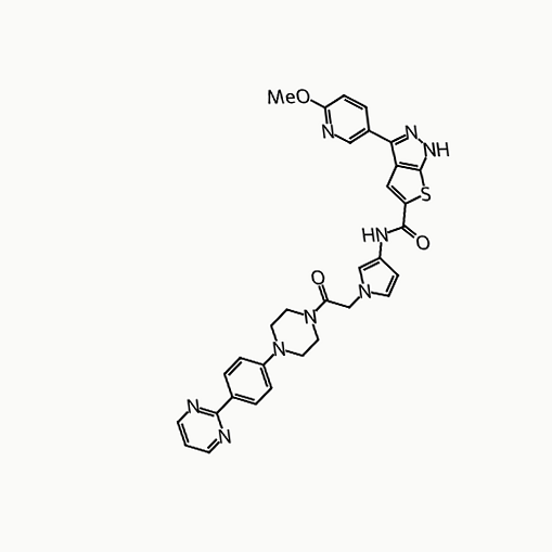 COc1ccc(-c2n[nH]c3sc(C(=O)Nc4ccn(CC(=O)N5CCN(c6ccc(-c7ncccn7)cc6)CC5)c4)cc23)cn1